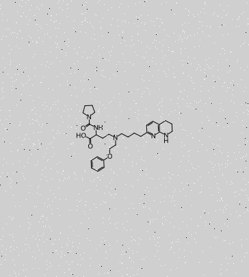 O=C(O)C(CCN(CCCCc1ccc2c(n1)NCCC2)CCOc1ccccc1)NC(=O)N1CCCC1